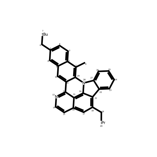 Cc1c2ccc(CC(C)(C)C)cc2cc2c3nccc4cc(CC(C)C)c5c6ccccc6n(c12)c5c43